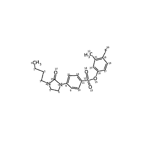 CCCCN1CCN(c2ccc(S(=O)(=O)Oc3ccc(F)c(C)c3)cc2)C1=O